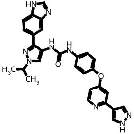 CC(C)n1cc(NC(=O)Nc2ccc(Oc3ccnc(-c4cn[nH]c4)c3)cc2)c(-c2ccc3[nH]cnc3c2)n1